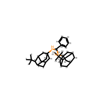 CC(C)(C)C1C2CC3CC1CC(PC(PC14CC5CC(C1)C(C(C)(C)C)C(C5)C4)c1ccccc1)(C3)C2